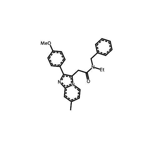 CCN(Cc1ccccc1)C(=O)Cc1c(-c2ccc(OC)cc2)nc2cc(C)ccn12